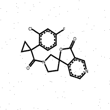 O=C1OC2(CCN(C(=O)C3(c4ccc(F)cc4Cl)CC3)C2)c2ccncc21